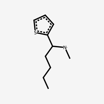 CCCCC([N]C)c1cccs1